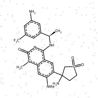 CNc1cc2c(cc1C1(N)CCS(=O)(=O)C1)c(N[C@H](C)c1cc(N)cc(C(F)(F)F)c1)nc(=O)n2C